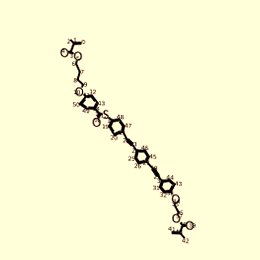 C=C(C)C(=O)OCCCCOc1ccc(C(=O)Sc2ccc(C#Cc3ccc(C#Cc4ccc(OCCOC(=O)C(=C)C)cc4)cc3)cc2)cc1